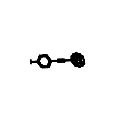 Ic1ccc(C#C[C]23[CH]4[CH]5[CH]6[CH]2[Fe]56432789[CH]3[CH]2[CH]7[CH]8[CH]39)cc1